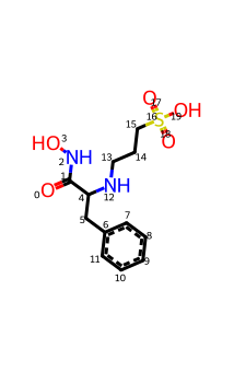 O=C(NO)C(Cc1ccccc1)NCCCS(=O)(=O)O